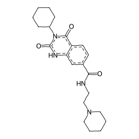 O=C(NCCN1CCCCC1)c1ccc2c(=O)n(C3CCCCC3)c(=O)[nH]c2c1